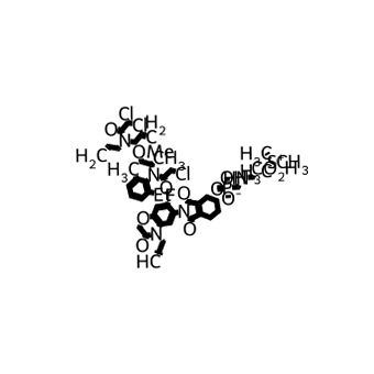 C#CCN1C(=O)COc2cc(F)c(N3C(=O)C4=C(CCCC4)C3=O)cc21.C=CCN(CC=C)C(=O)C(Cl)Cl.CCc1cccc(C)c1N(C(=O)CCl)C(C)COC.C[S+](C)C.O=C(O)CNCP(=O)([O-])O